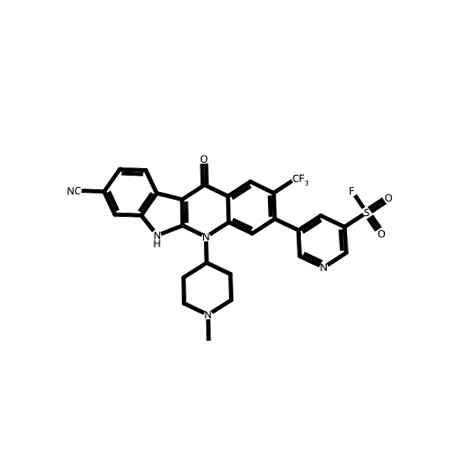 CN1CCC(n2c3cc(-c4cncc(S(=O)(=O)F)c4)c(C(F)(F)F)cc3c(=O)c3c4ccc(C#N)cc4[nH]c32)CC1